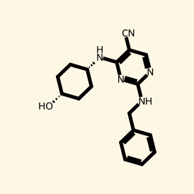 N#Cc1cnc(NCc2ccccc2)nc1N[C@H]1CC[C@@H](O)CC1